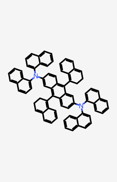 C1=c2ccccc2=C(c2c3ccc(N(c4cccc5ccccc45)c4cccc5ccccc45)cc3c(C3=c4ccccc4=CCC3)c3ccc(N(c4cccc5ccccc45)c4cccc5ccccc45)cc23)CC1